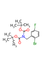 CC(C)(C)OC(=O)N(Cc1cc(F)ccc1Br)C(=O)OC(C)(C)C